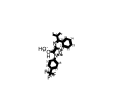 CC(C)c1nc2c(O)n(-c3ccc(C(F)(F)F)cc3)n[n+]2c2ccccc12.[OH-]